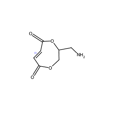 NCC1COC(=O)/C=C/C(=O)O1